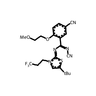 COCCOc1ccc(C#N)cc1C(=NC#N)N=c1sc(C(C)(C)C)cn1CCC(F)(F)F